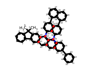 CC1(C)c2ccccc2-c2ccc(N(c3ccccc3)c3ccc(-c4cccc5cccc(-c6ccc(N(C7=CCCC=C7)c7ccc(-c8ccccc8)cc7)cc6)c45)cc3)cc21